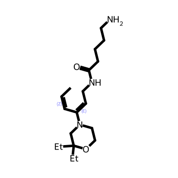 C/C=C\C(=C/CNC(=O)CCCCN)N1CCOC(CC)(CC)C1